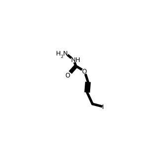 NNC(=O)OC#CCI